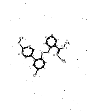 COc1ncc(-c2cc(Cl)ccc2OCc2ccccc2/C(=N/N)NN)cn1